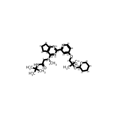 CN(CC(=O)NC(C)(C)C)c1nc(-c2cc(OCC(C)(C)OC3CCCCO3)ccn2)nc2c1CCC2